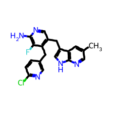 Cc1cnc2[nH]cc(Cc3cnc(N)c(F)c3Cc3ccc(Cl)nc3)c2c1